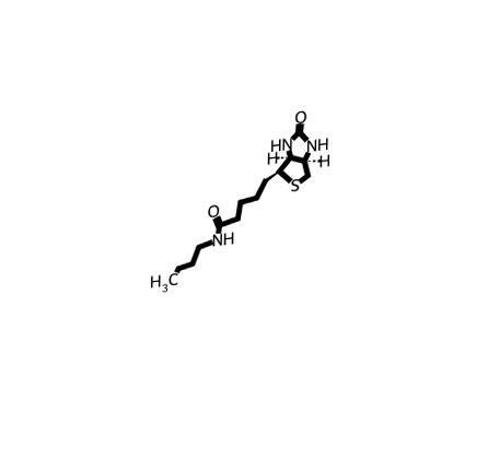 CCCCNC(=O)CCCC[C@@H]1SC[C@@H]2NC(=O)N[C@@H]21